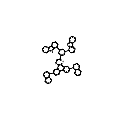 c1ccc2c(-c3ccc4c5ccc(-c6cccc7ccccc67)cc5c5nc(-c6cc(-c7cccc8c7sc7ccccc78)cc(-c7cccc8c7sc7ccccc78)c6)cnc5c4c3)cccc2c1